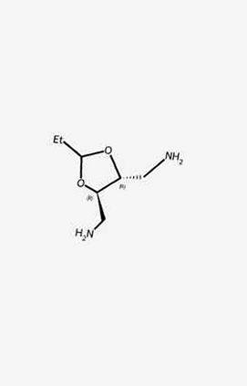 CCC1O[C@H](CN)[C@@H](CN)O1